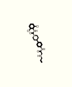 C=CCNCC(=O)Nc1ccc(C2CCN(C(=O)Nc3c(Cl)cccc3Cl)CC2)cc1